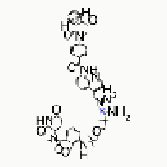 CN(C(=O)C1C(C=O)[C@@H]2C=C[C@H]1C2)c1ccc(C(=O)Nc2cccc3c(CN(N)/C=C(\N)C(C)(C)COCC(C)(C)Nc4cccc(C(=O)N(C)C5CCC(=O)NC5=O)c4C=O)ccnc23)cc1